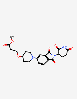 CC(C)(C)OC(=O)CCOC1CCN(c2ccc3c(c2)C(=O)N(C2CCC(=O)NC2=O)C3=O)CC1